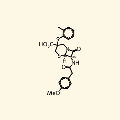 COc1ccc(CC(=O)N[C@@H]2C(=O)N3CC(Sc4ccccc4I)(C(=O)O)CS[C@H]23)cc1